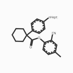 CCCCCCCc1ccc(C2(C(=O)Oc3ccc(C)cc3C#N)CCCCC2)cc1